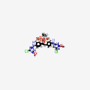 COc1nc(Cl)nc(Nc2ccc(C=Cc3ccc(Nc4nc(Cl)nc(OC)n4)cc3S(=O)(=O)[O-])c(S(=O)(=O)[O-])c2)n1.[Na+].[Na+]